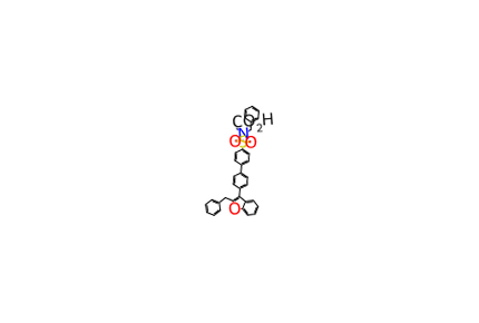 O=C(O)CN(Cc1ccccc1)S(=O)(=O)c1ccc(-c2ccc(-c3c(Cc4ccccc4)oc4ccccc34)cc2)cc1